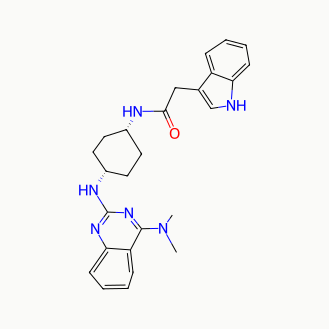 CN(C)c1nc(N[C@H]2CC[C@@H](NC(=O)Cc3c[nH]c4ccccc34)CC2)nc2ccccc12